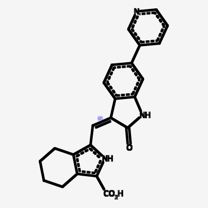 O=C1Nc2cc(-c3cccnc3)ccc2/C1=C/c1[nH]c(C(=O)O)c2c1CCCC2